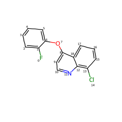 Fc1ccccc1Oc1ccnc2c(Cl)cccc12